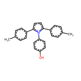 Cc1ccc(-c2ccc(-c3ccc(C)cc3)n2-c2ccc(O)cc2)cc1